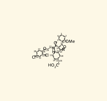 COc1ccccc1-c1onc(-c2cccc(CC(=O)O)c2)c1C(=O)NCCOc1ccc(Cl)cc1Cl